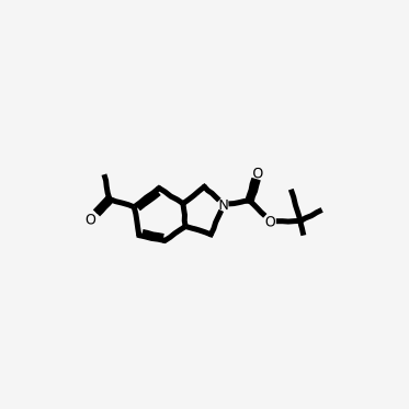 CC(=O)C1=CC2CN(C(=O)OC(C)(C)C)CC2C=C1